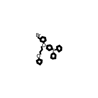 BrCc1cccc(OCCCCOc2ccccc2)c1.c1ccc(P(c2ccccc2)c2ccccc2)cc1